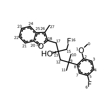 COc1ccc(F)cc1C(C)(C)CC(O)(CF)Cc1oc2ccccc2c1C